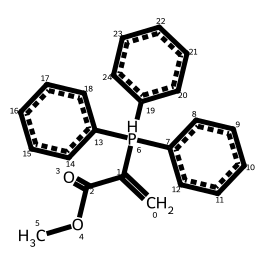 C=C(C(=O)OC)[PH](c1ccccc1)(c1ccccc1)c1ccccc1